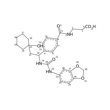 O=C(O)CCNC(=O)c1ccc(C(CC2(O)CCCCC2)NC(=O)Nc2ccc3c(c2)OCO3)cc1